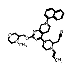 CC=CN1CCN(c2nc(OCC3COCCN3C)nc3c2CCN(c2cccc4ccccc24)C3)CC1CC#N